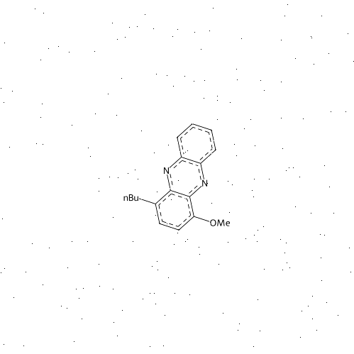 CCCCc1ccc(OC)c2nc3ccccc3nc12